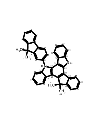 CC1(C)c2ccccc2-c2ccc(-n3c4ccccc4c4c5c(c6sc7ccccc7c6c43)-c3ccccc3C5(C)C)cc21